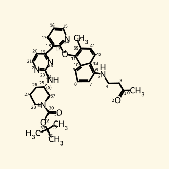 CC(=O)CCNc1cccc2c(Oc3ncccc3-c3ccnc(N[C@H]4CCCN(C(=O)OC(C)(C)C)C4)n3)c(C)ccc12